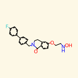 O=C1c2ccc(OCCNO)cc2CCN1Cc1ccc(-c2ccc(F)cc2)cc1